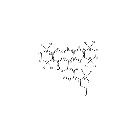 CCCC(c1ccc(O)c(-c2c3cc4c(cc3cc3cc5c(cc23)C(C)(C)CCC5(C)C)C(C)(C)CCC4(C)C)c1)C(C)(C)C